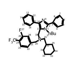 CCCCn1c(-c2ccccc2)nc(-c2ccccc2)c1CN(Cc1ccc(C(F)(F)F)c(F)c1)CC1CCCCC1